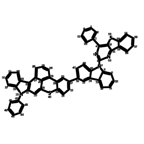 c1ccc(-c2nc(-n3c4ccccc4c4cc(-c5ccc6c(c5)-c5cccc7c5c(cc5c7c7ccccc7n5-c5ccccc5)S6)ccc43)nc3c2sc2ccccc23)cc1